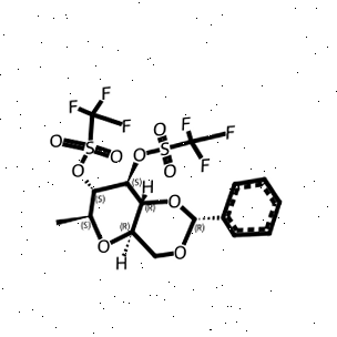 C[C@@H]1O[C@@H]2CO[C@@H](c3ccccc3)O[C@H]2[C@H](OS(=O)(=O)C(F)(F)F)[C@H]1OS(=O)(=O)C(F)(F)F